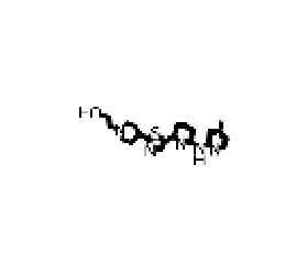 Cc1ccnc(Nc2cccc(-c3cnc(C4CCN(CCO)CC4)s3)n2)c1